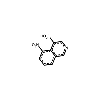 O=C(O)c1cncc2cccc([N+](=O)[O-])c12